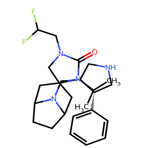 CC(C)N1C(=O)N(CC(F)F)CC12CC1CCC(C2)N1C[C@H]1CNC[C@@H]1c1ccccc1